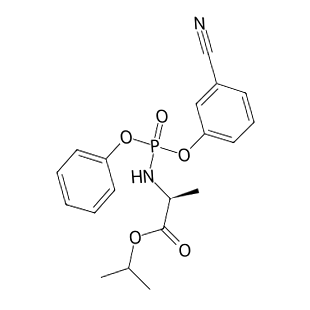 CC(C)OC(=O)[C@H](C)NP(=O)(Oc1ccccc1)Oc1cccc(C#N)c1